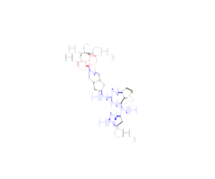 Cc1cc(Nc2nc(NC3CC4CN(C(=O)OC(C)(C)C)CC4C3)nc3ccsc23)n[nH]1